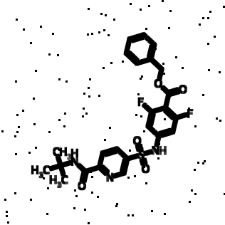 CC(C)(C)NC(=O)c1ccc(S(=O)(=O)Nc2cc(F)c(C(=O)OCc3ccccc3)c(F)c2)cn1